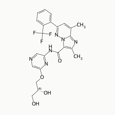 Cc1nc2c(C)cc(-c3ccccc3C(F)(F)F)nn2c1C(=O)Nc1cncc(OC[C@H](O)CO)n1